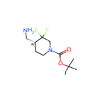 CC(C)(C)OC(=O)N1CC[C@H](CN)C(F)(F)C1